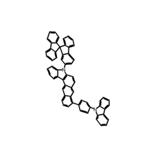 c1ccc2c(c1)-c1ccccc1C21c2ccccc2-c2ccc(-n3c4ccccc4c4c5cc6cccc(-c7ccc(-n8c9ccccc9c9ccccc98)cc7)c6cc5ccc43)cc21